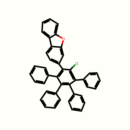 Clc1c(-c2ccccc2)c(-c2ccccc2)c(-c2ccccc2)c(-c2ccccc2)c1-c1ccc2c(c1)oc1ccccc12